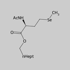 CCCCCCCCOC(=O)[C@H](CC[Se]C)NC(C)=O